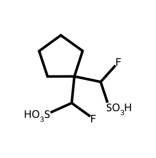 O=S(=O)(O)C(F)C1(C(F)S(=O)(=O)O)CCCC1